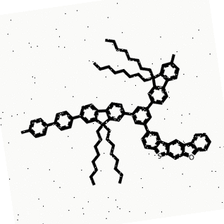 CCCCCCCCC1(CCCCCCCC)c2cc(C)ccc2-c2ccc(-c3cc(-c4ccc5c(c4)C(CCCCCCCC)(CCCCCCCC)c4cc(-c6ccc(-c7ccc(C)cc7)cc6)ccc4-5)cc(-c4ccc5sc6cc7oc8ccccc8c7cc6c5c4)c3)cc21